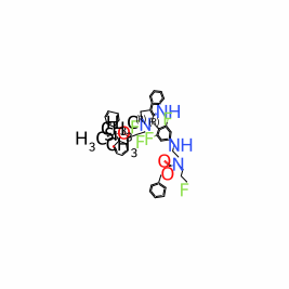 C[C@@H]1Cc2c([nH]c3ccccc23)[C@@H](c2c(F)cc(NCCN(CCCF)C(=O)OCc3ccccc3)cc2F)N1CC(F)(F)CO[Si](C1C=CC=CC1)(C1C=CC=CC1)C(C)(C)C